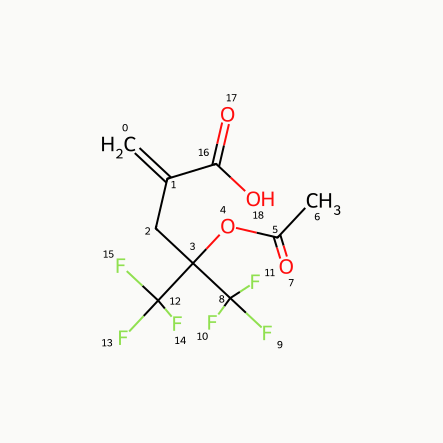 C=C(CC(OC(C)=O)(C(F)(F)F)C(F)(F)F)C(=O)O